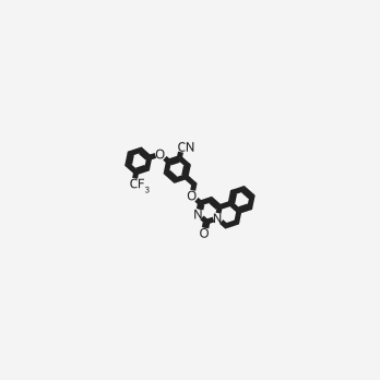 N#Cc1cc(COc2cc3n(c(=O)n2)CCc2ccccc2-3)ccc1Oc1cccc(C(F)(F)F)c1